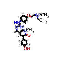 CCN(CC)CCOc1ccc(Nc2ncc3cc(-c4ccc(O)cc4)c(=O)n(C)c3n2)cc1